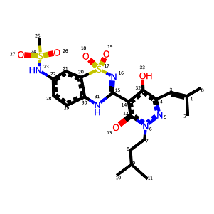 CC(C)=Cc1nn(CCC(C)C)c(=O)c(C2=NS(=O)(=O)c3cc(NS(C)(=O)=O)ccc3N2)c1O